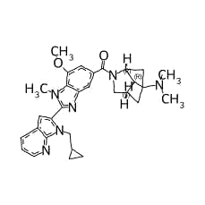 COc1cc(C(=O)N2C[C@H]3CC4(N(C)C)C[C@@H]2[C@@H]34)cc2nc(-c3cc4cccnc4n3CC3CC3)n(C)c12